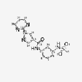 CS(=O)(=O)Nc1cccc(NC(=O)c2cnn(-c3ncccn3)c2)c1